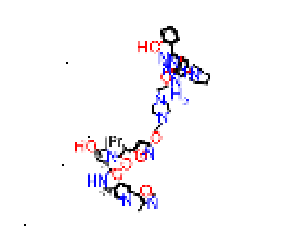 Cc1ncoc1-c1ccc([C@H](C)NC(=O)[C@@H]2C[C@@H](O)CN2C(=O)[C@@H](c2cc(OCCN3CCN(CCOc4cc(N5C6CCC5CN(c5cc(-c7ccccc7O)nnc5N)C6)ccn4)CC3)no2)C(C)C)cn1